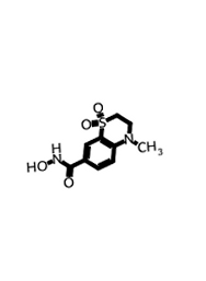 CN1CCS(=O)(=O)c2cc(C(=O)NO)ccc21